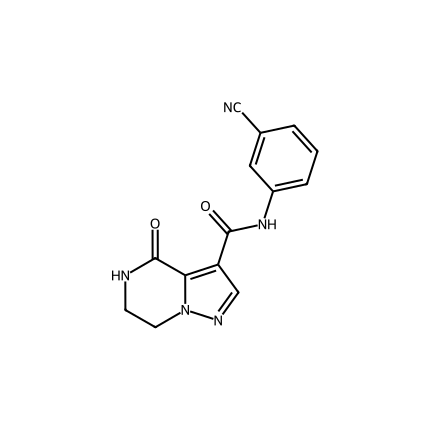 N#Cc1cccc(NC(=O)c2cnn3c2C(=O)NCC3)c1